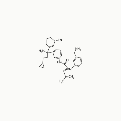 C=C(/C=C(\Nc1cccc(CN)c1)C(=O)Nc1cccc(C(N)(CCC2CC2)C2=CC(C#N)CC=C2)c1)C(F)(F)F